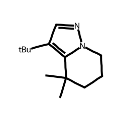 CC(C)(C)c1cnn2c1C(C)(C)CCC2